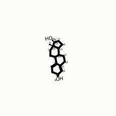 C[C@]12CCC3C4=CCC(O)C=C4CCC3C1CC[C@@H]2O